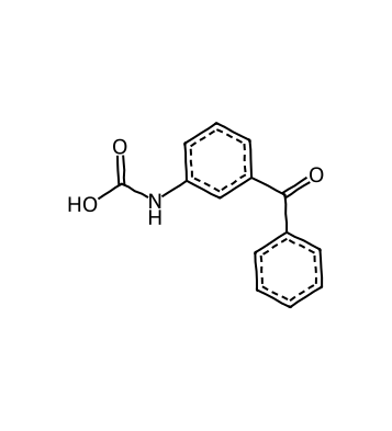 O=C(O)Nc1cccc(C(=O)c2ccccc2)c1